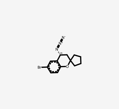 [N-]=[N+]=N[C@@H]1CC2(CCCC2)Oc2ccc(Br)cc21